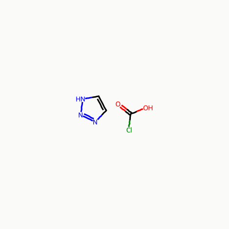 O=C(O)Cl.c1c[nH]nn1